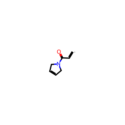 [CH]=CC(=O)N1CC=CC1